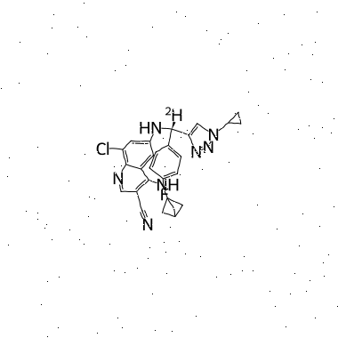 [2H][C@](Nc1cc(Cl)c2ncc(C#N)c(NC34CC(C3)C4)c2c1)(c1ccc(F)cc1)c1cn(C2CC2)nn1